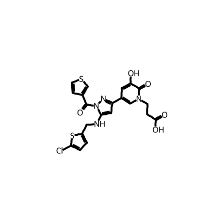 O=C(O)CCn1cc(-c2cc(NCc3ccc(Cl)s3)n(C(=O)c3ccsc3)n2)cc(O)c1=O